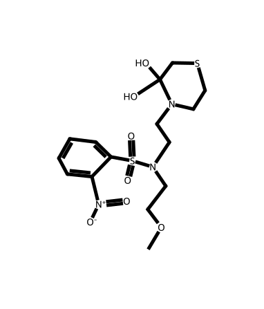 COCCN(CCN1CCSCC1(O)O)S(=O)(=O)c1ccccc1[N+](=O)[O-]